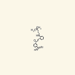 CCCN(CCC)c1cccc(C(=O)/C=C/c2ccccc2NCCCN(C)C)c1